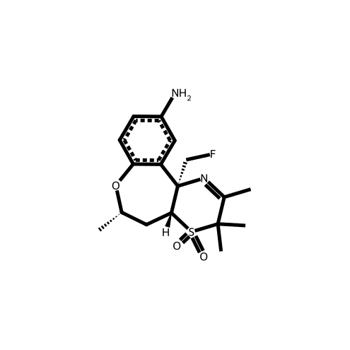 CC1=N[C@]2(CF)c3cc(N)ccc3O[C@@H](C)C[C@H]2S(=O)(=O)C1(C)C